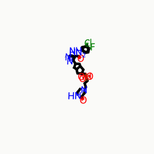 Cn1nc(C2CC3CC(O)(CS(=O)(=O)CCCN4CCNC(=O)C4)CC3C2)c(C(=O)Nc2ccc(F)c(Cl)c2)c1N